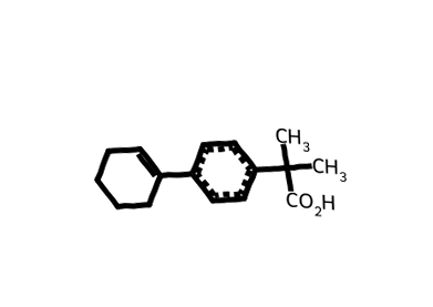 CC(C)(C(=O)O)c1ccc(C2=CCCCC2)cc1